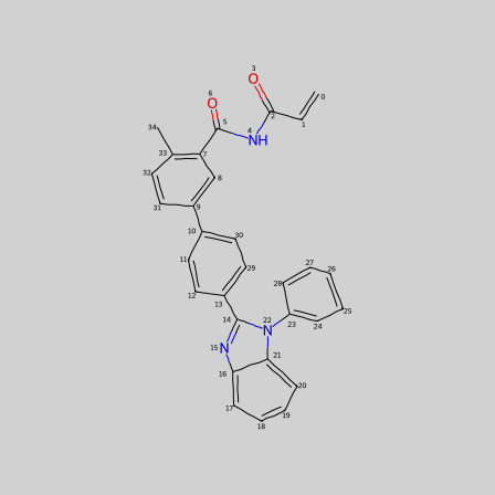 C=CC(=O)NC(=O)c1cc(-c2ccc(-c3nc4ccccc4n3-c3ccccc3)cc2)ccc1C